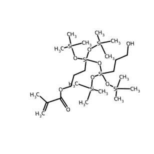 C=C(C)C(=O)OCCC[Si](O[Si](C)(C)C)(O[Si](C)(C)C)O[Si](CCCO)(O[Si](C)(C)C)O[Si](C)(C)C